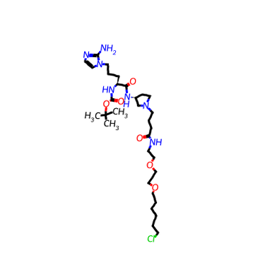 CC(C)(C)OC(=O)N[C@@H](CCCn1ccnc1N)C(=O)N[C@@H]1CCN(CCCC(=O)NCCOCCOCCCCCCCl)C1